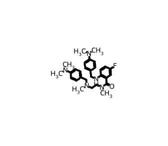 CN(CCN(C)C(=O)c1cc(F)ccc1NCc1ccc(N(C)C)cc1)Cc1ccc(N(C)C)cc1